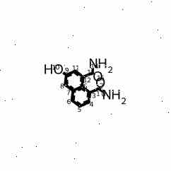 NC(=O)c1cccc2cc(O)cc(C(N)=O)c12